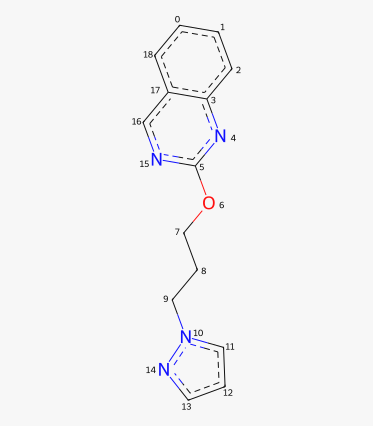 c1ccc2nc(OCCCn3cccn3)ncc2c1